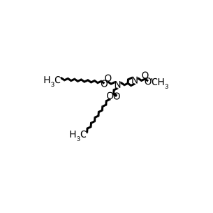 CCCCCCCCCCCCCCOC(=O)CCN(CCC(=O)OCCCCCCCCCCCCCC)CCC1CCN(CCC(=O)OCC)CC1